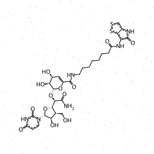 NC(=O)[C@H](O[C@H]1OC(C(=O)NCCCCCCCC(=O)Nc2c3sscc-3[nH]c2=O)=C[C@H](O)[C@@H]1O)[C@H]1O[C@@H](n2ccc(=O)[nH]c2=O)[C@H](O)[C@@H]1CO